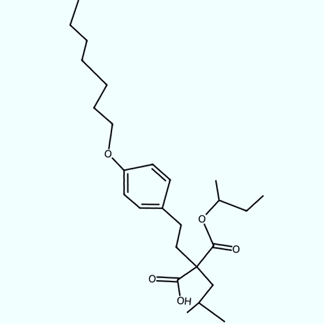 CCCCCCCOc1ccc(CCC(CC(C)C)(C(=O)O)C(=O)OC(C)CC)cc1